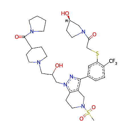 CS(=O)(=O)N1CCc2c(c(-c3ccc(C(F)(F)F)c(SCC(=O)N4CC[C@@H](O)C4)c3)nn2CC(O)CN2CCC(C(=O)N3CCCC3)CC2)C1